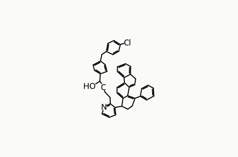 OC(CCCc1ncccc1C1CCC(c2ccccc2)=c2c1ccc1c2=CCc2ccccc2-1)c1ccc(Cc2ccc(Cl)cc2)cc1